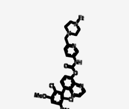 CCN1CCN(Cc2ccc(NC(=O)Oc3ccc(-c4c(Cl)c(OC)cc(OC)c4Cl)c4nccnc34)cn2)CC1